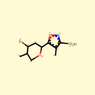 CCOC(=O)c1noc(C2CC(Br)C(C)CO2)c1C